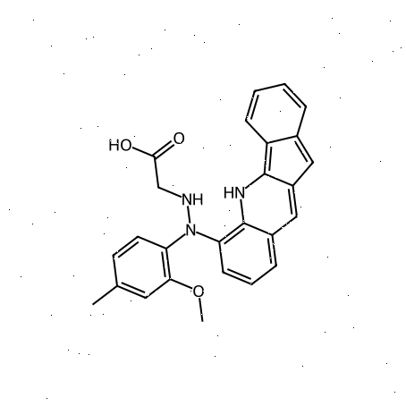 COc1cc(C)ccc1N(NCC(=O)O)c1cccc2cc3cc4ccccc4c-3[nH]c12